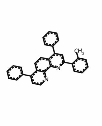 Cc1ccccc1-c1cc(-c2ccccc2)c2ccc3c(-c4ccccc4)ccnc3c2n1